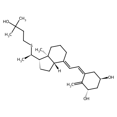 C=C1C(=CC=C2CCC[C@]3(C)[C@@H]([C@@H](C)SCCC(C)(C)O)CC[C@@H]23)C[C@@H](O)C[C@@H]1O